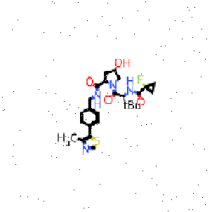 Cc1ncsc1C1=CC=C(CNC(=O)C2C[C@@H](O)CN2C(=O)[C@@H](NC(=O)C2(F)CC2)C(C)(C)C)CC1